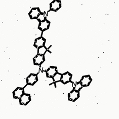 CC1(C)c2cc(-c3ccc4c(c3)c3ccccc3n4-c3ccccc3)ccc2-c2ccc(N(c3ccc(-c4cccc5ccccc45)cc3)c3ccc4c(c3)C(C)(C)c3cc(-n5c6ccccc6c6ccccc65)ccc3-4)cc21